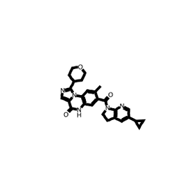 Cc1cc2c(cc1C(=O)N1CCc3cc(C4CC4)cnc31)[nH]c(=O)c1cnc(C3CCOCC3)n12